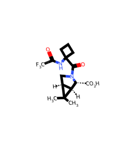 CC1(C)[C@@H]2[C@@H](C(=O)O)N(C(=O)C3(NC(=O)C(F)(F)F)CCC3)C[C@@H]21